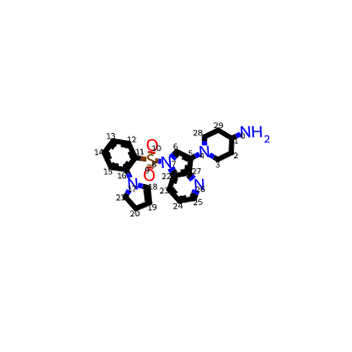 NC1CCN(c2cn(S(=O)(=O)c3ccccc3N3C=CCC3)c3cccnc23)CC1